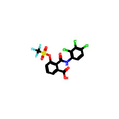 O=C(O)c1cccc(OS(=O)(=O)C(F)(F)F)c1C(=O)Nc1ccc(Cl)c(Cl)c1Cl